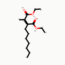 CCCCCCC/C(C(=O)OCC)=C(\C)C(=O)OCC